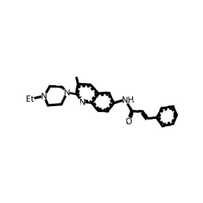 CCN1CCN(c2nc3ccc(NC(=O)C=Cc4ccccc4)cc3cc2C)CC1